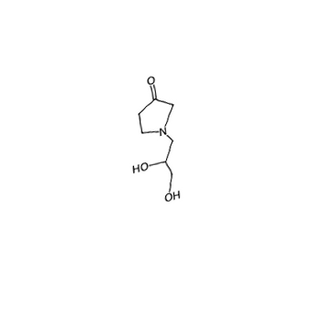 O=C1CCN(CC(O)CO)C1